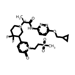 C[C@@H](C(=O)Nc1ccc(OCC2CC2)nn1)N1CCC(F)(F)C(c2ccc(=O)n(CCS(C)(=O)=O)c2)C1